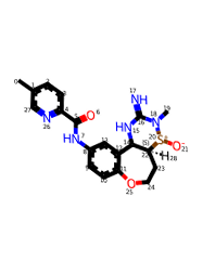 Cc1ccc(C(=O)Nc2ccc3c(c2)C2NC(=N)N(C)[S+]([O-])[C@H]2CCO3)nc1